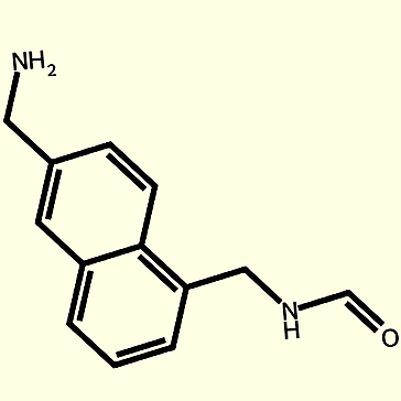 NCc1ccc2c(CNC=O)cccc2c1